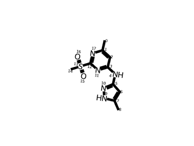 Cc1cc(Nc2cc(C)[nH]n2)nc(S(C)(=O)=O)n1